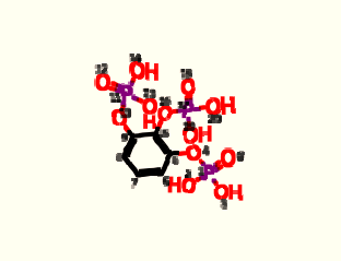 O=P(O)(O)Oc1cccc(OP(=O)(O)O)c1OP(=O)(O)O